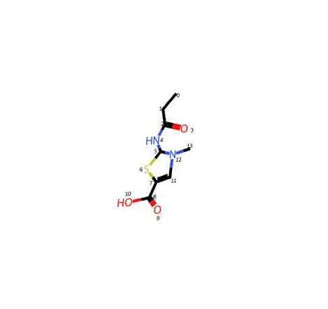 CCC(=O)NC1SC(C(=O)O)=CN1C